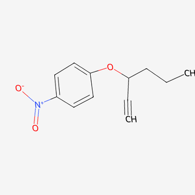 C#CC(CCC)Oc1ccc([N+](=O)[O-])cc1